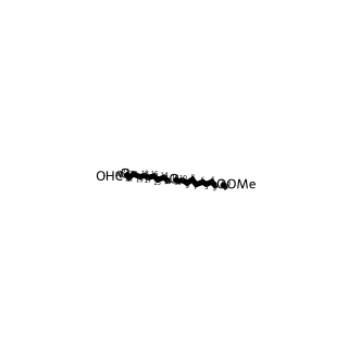 [CH2]OCOCCCCCCCCCOCCCCCCCCCO[C]=O